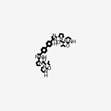 CC(C)[C@@H](C(=O)N1CCCC1c1ncc(-c2ccc(-c3ccc(-c4cnc([C@@H]5CCCN5C(=O)[C@H](C(C)C)N5CCCNC5=O)[nH]4)cc3)cc2)[nH]1)N1CCCNC1=O